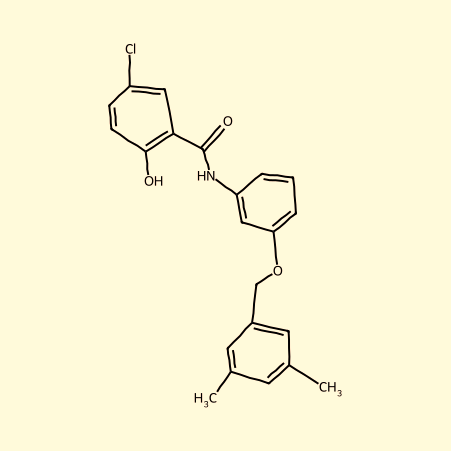 Cc1cc(C)cc(COc2cccc(NC(=O)c3cc(Cl)ccc3O)c2)c1